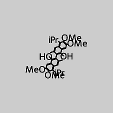 COc1cc2c(O)c(-c3c(C)cc4c(C(C)C)c(OC)c(OC)cc4c3O)c(C)cc2c(C(C)C)c1OC